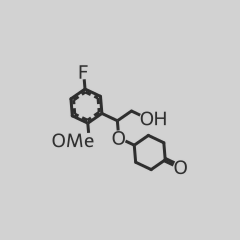 COc1ccc(F)cc1C(CO)OC1CCC(=O)CC1